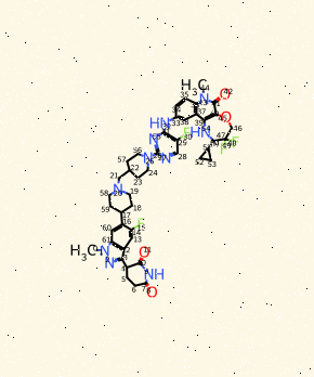 Cn1nc(C2CCC(=O)NC2=O)c2cc(F)c(C3CCN(CC4CCN(c5ncc(F)c(Nc6ccc7c(c6)c6c(c(=O)n7C)OCC(F)(F)[C@H](C7CC7)N6)n5)CC4)CC3)cc21